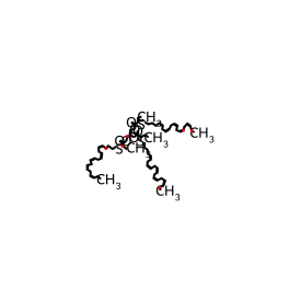 CC/C=C\C/C=C\C/C=C\C/C=C\C/C=C\CCCCSC(CC)C(=O)OCC(COC(=O)C(CC)SCCCC/C=C\C/C=C\C/C=C\C/C=C\C/C=C\CC)OC(=O)C(CC)SCCCC/C=C\C/C=C\C/C=C\C/C=C\C/C=C\CC